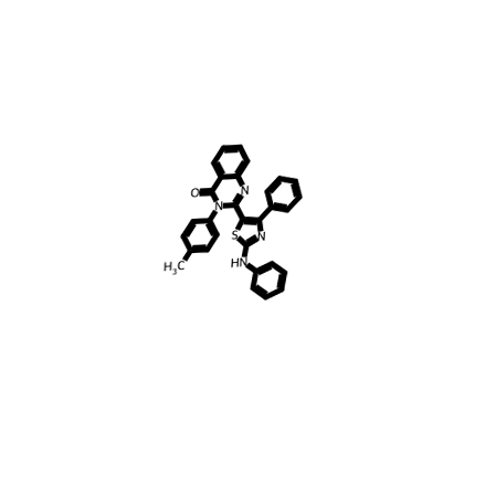 Cc1ccc(-n2c(-c3sc(Nc4ccccc4)nc3-c3ccccc3)nc3ccccc3c2=O)cc1